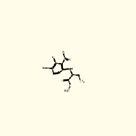 CCC(Nc1ccc(Br)c(Cl)c1[N+](=O)[O-])C(=O)OC